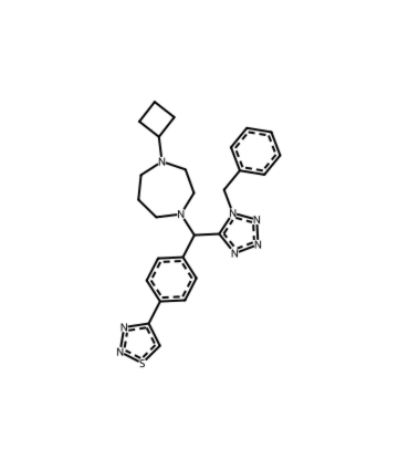 c1ccc(Cn2nnnc2C(c2ccc(-c3csnn3)cc2)N2CCCN(C3CCC3)CC2)cc1